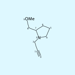 C#CCN1CCCC1COC